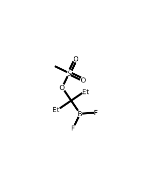 CCC(CC)(OS(C)(=O)=O)B(F)F